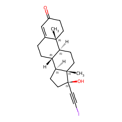 C[C@]12CCC(=O)C=C1CC[C@@H]1[C@@H]2CC[C@@]2(C)[C@H]1CC[C@@]2(O)C#CI